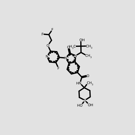 CC(n1c(=O)n(-c2cc(OCC(F)F)ncc2F)c2ccc(C(=O)NC3(C)CCS(O)(O)CC3)cc21)C(C)(C)O